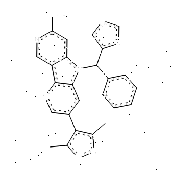 CCOC(=O)c1cc2c(cn1)c1ncc(-c3c(C)noc3C)cc1n2C(c1ccccc1)c1cscn1